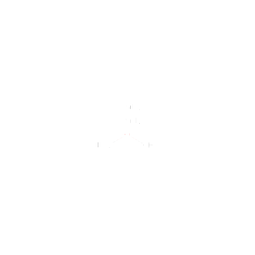 COC.[SiH4].[SiH4]